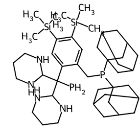 C[Si](C)(C)c1cc(CP(C23CC4CC(CC(C4)C2)C3)C23CC4CC(CC(C4)C2)C3)c(C(P)(C2NCCCN2)C2NCCCN2)cc1[Si](C)(C)C